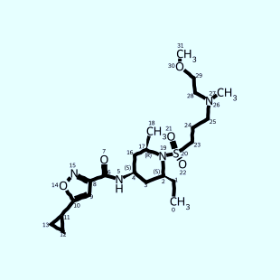 CC[C@H]1C[C@@H](NC(=O)c2cc(C3CC3)on2)C[C@@H](C)N1S(=O)(=O)CCCN(C)CCOC